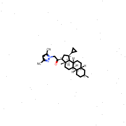 C[C@H]1CC[C@H]2[C@H](CC[C@@H]3[C@@H]2CC[C@@]2(C)[C@H]3[C@H](C3CC3)C[C@@H]2C(=O)Cn2nc(C#N)cc2C#N)C1